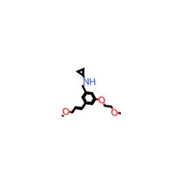 COC/C=C/c1cc(CNC2CC2)cc(OCCOC)c1